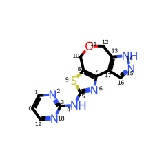 c1cnc(Nc2nc3c(s2)COCc2[nH]ncc2-3)nc1